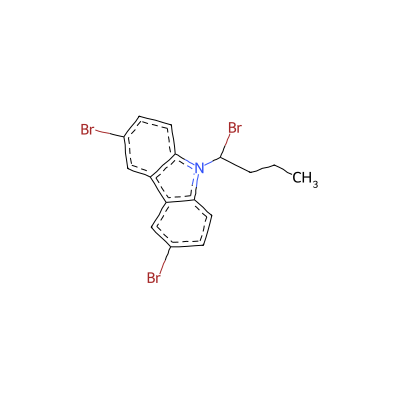 CCCC(Br)n1c2ccc(Br)cc2c2cc(Br)ccc21